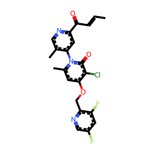 C/C=C/C(=O)c1cc(-n2c(C)cc(OCc3ncc(F)cc3F)c(Cl)c2=O)c(C)cn1